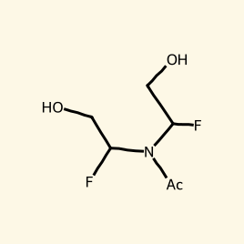 [CH2]C(=O)N(C(F)CO)C(F)CO